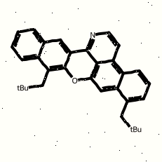 CC(C)(C)Cc1c2c(cc3ccccc13)-c1nccc3c1c(cc1c(CC(C)(C)C)cccc13)O2